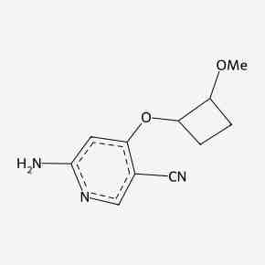 COC1CCC1Oc1cc(N)ncc1C#N